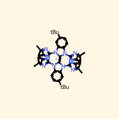 Cc1cc(C)nc(N2/C(=C3/N(c4nc(C)cc(C)n4)c4ccc(C(C)(C)C)cc4N3c3nc(C)cc(C)n3)N(c3nc(C)cc(C)n3)c3cc(C(C)(C)C)ccc32)n1